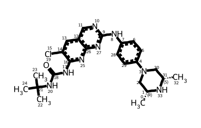 C[C@@H]1CN(c2ccc(Nc3ncc4cc(Cl)c(NC(=O)NC(C)(C)C)nc4n3)cc2)C[C@H](C)N1